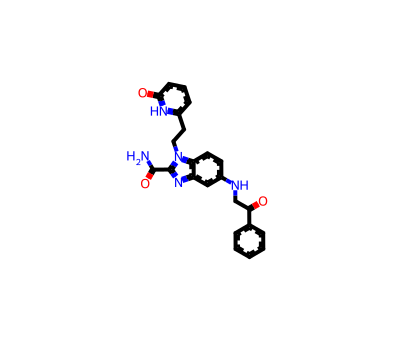 NC(=O)c1nc2cc(NCC(=O)c3ccccc3)ccc2n1CCc1cccc(=O)[nH]1